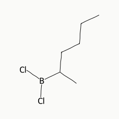 CCCCC(C)B(Cl)Cl